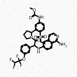 CCS(=O)(=O)c1ccc(NC(=O)OC)cc1C1CCCN1C(=O)C(Nc1ccc2c(N)nccc2c1)c1cccc(OC(F)(F)C(F)F)c1